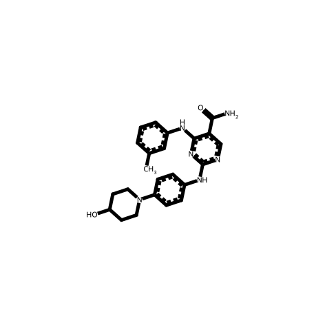 Cc1cccc(Nc2nc(Nc3ccc(N4CCC(O)CC4)cc3)ncc2C(N)=O)c1